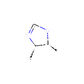 C[C@@H]1NC=N[C@@H]1C